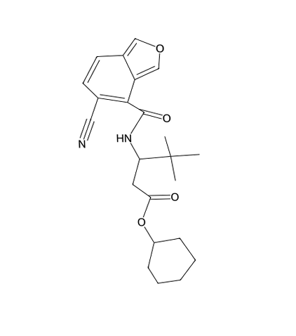 CC(C)(C)C(CC(=O)OC1CCCCC1)NC(=O)c1c(C#N)ccc2cocc12